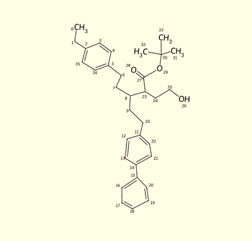 CCc1ccc(CCC(CCc2ccc(-c3ccccc3)cc2)C(CCO)C(=O)OC(C)(C)C)cc1